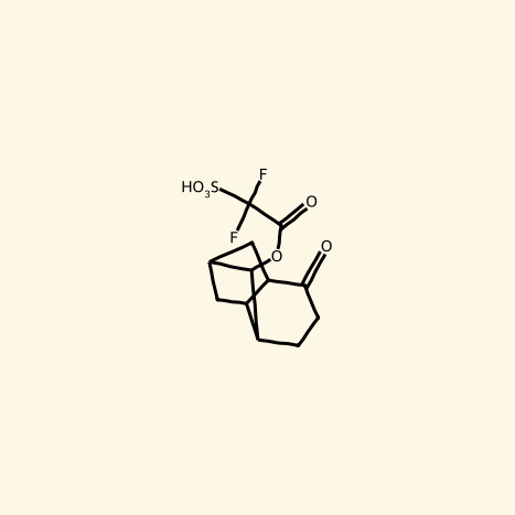 O=C1CCC2C3CC(CC13)C2OC(=O)C(F)(F)S(=O)(=O)O